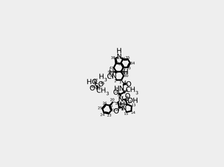 CN1C[C@H](C(=O)N[C@]2(C)O[C@@]3(O)[C@@H]4CCCN4C(=O)[C@H](Cc4ccccc4)N3C2=O)C[C@H]2c3cccc4[nH]cc(c34)C[C@H]21.CS(=O)(=O)O